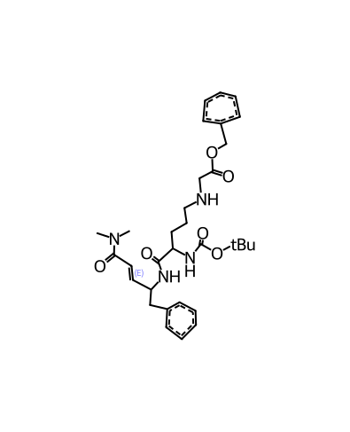 CN(C)C(=O)/C=C/C(Cc1ccccc1)NC(=O)C(CCCNCC(=O)OCc1ccccc1)NC(=O)OC(C)(C)C